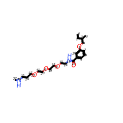 CCC(C)COc1cccc(C(=O)NCCOCCOCCOCCCNC)c1